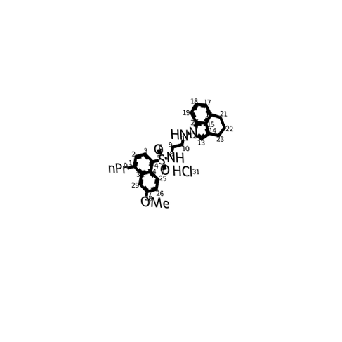 CCCc1ccc(S(=O)(=O)NCCNn2cc3c4c(cccc42)CCC3)c2ccc(OC)cc12.Cl